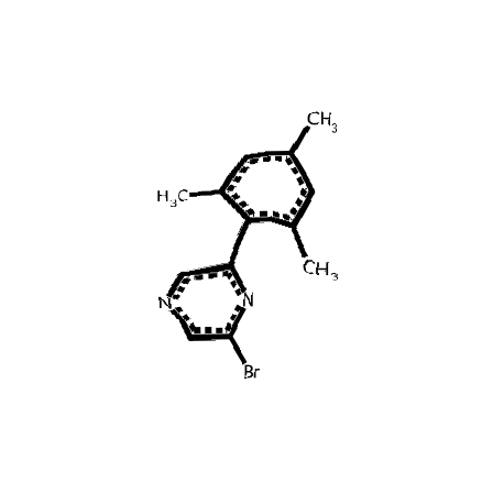 Cc1cc(C)c(-c2cncc(Br)n2)c(C)c1